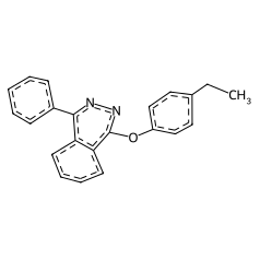 CCc1ccc(Oc2nnc(-c3ccccc3)c3ccccc23)cc1